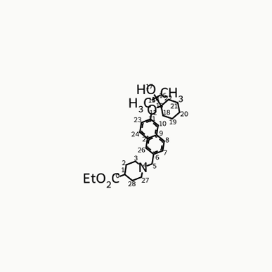 CCOC(=O)C1CCN(Cc2ccc3cc(OC4(C(C)(C)O)CCCCC4)ccc3c2)CC1